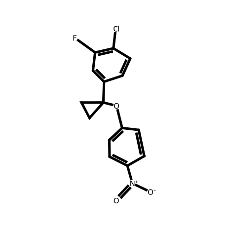 O=[N+]([O-])c1ccc(OC2(c3ccc(Cl)c(F)c3)CC2)cc1